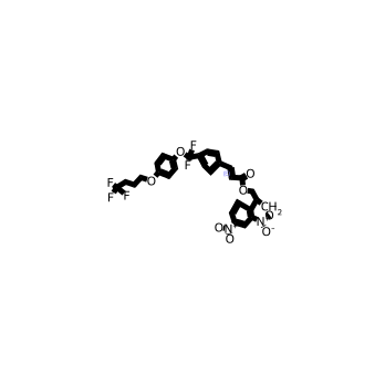 [CH2]C(COC(=O)/C=C/c1ccc(C(F)(F)Oc2ccc(OCCCC(F)(F)F)cc2)cc1)c1ccc([N+](=O)[O-])cc1[N+](=O)[O-]